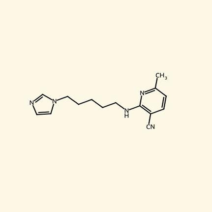 Cc1ccc(C#N)c(NCCCCCn2ccnc2)n1